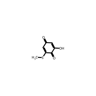 CSC1=CC(=O)C=C(O)C1=O